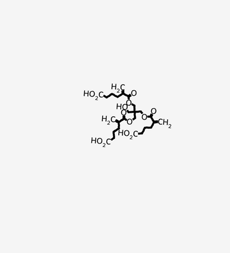 C=C(CCCC(=O)O)C(=O)OCC(CO)(COC(=O)C(=C)CCCC(=O)O)COC(=O)C(=C)CCCC(=O)O